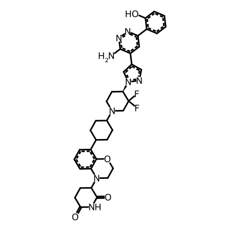 Nc1nnc(-c2ccccc2O)cc1-c1cnn([C@@H]2CCN(C3CCC(c4cccc5c4OCCN5C4CCC(=O)NC4=O)CC3)CC2(F)F)c1